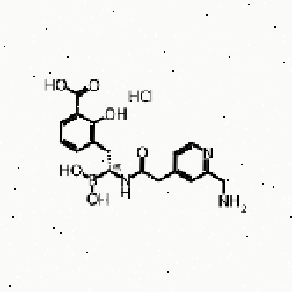 Cl.NCc1cc(CC(=O)N[C@@H](Cc2cccc(C(=O)O)c2O)B(O)O)ccn1